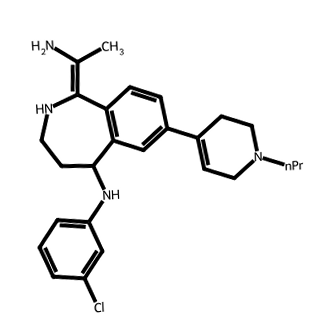 CCCN1CC=C(c2ccc3c(c2)C(Nc2cccc(Cl)c2)CCN/C3=C(/C)N)CC1